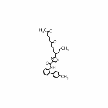 CCCC(CCCC(=O)CCCC(C)=O)c1nc(C(=O)Nc2ccccc2-c2ccc(C)cc2)cs1